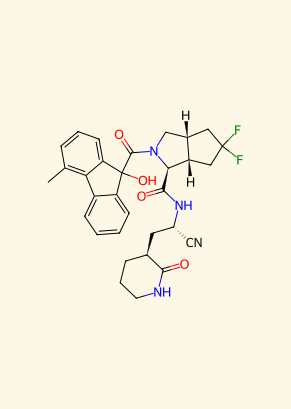 Cc1cccc2c1-c1ccccc1C2(O)C(=O)N1C[C@@H]2CC(F)(F)C[C@@H]2[C@H]1C(=O)N[C@H](C#N)C[C@@H]1CCCNC1=O